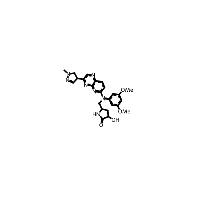 COc1cc(OC)cc(N(CC2CC(O)C(=O)N2)c2ccc3ncc(C4C=NN(C)C4)nc3n2)c1